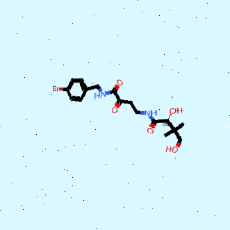 CC(C)(CO)[C@@H](O)C(=O)NCCC(=O)C(=O)NCc1ccc(Br)cc1